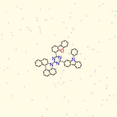 c1ccc(-n2c3ccccc3c3ccc(-c4nc(-c5cccc6c5oc5ccccc56)nc(N5c6ccc7ccccc7c6-c6cccc7cccc5c67)n4)cc32)cc1